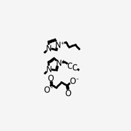 CCCC[n+]1ccn(C)c1.CCCC[n+]1ccn(C)c1.O=C([O-])CCC(=O)[O-]